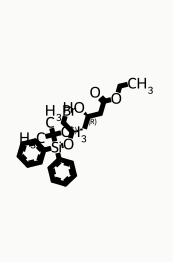 CCOC(=O)C[C@H](O)C[C@@H](CBr)O[Si](c1ccccc1)(c1ccccc1)C(C)(C)C